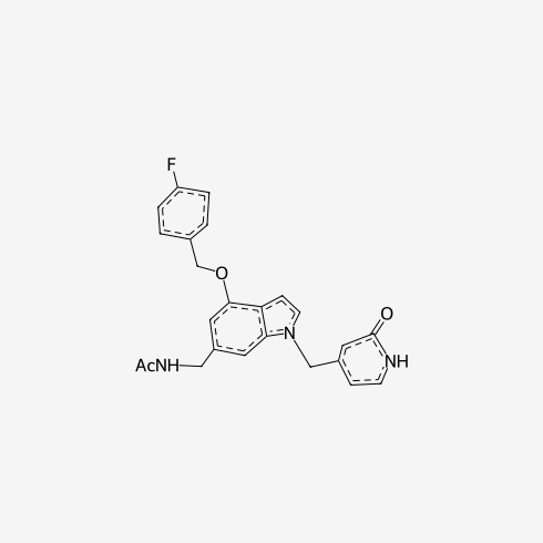 CC(=O)NCc1cc(OCc2ccc(F)cc2)c2ccn(Cc3cc[nH]c(=O)c3)c2c1